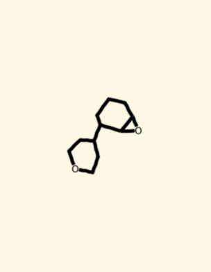 C1CC2OC2C(C2CCOCC2)C1